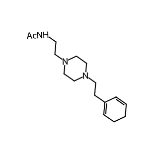 CC(=O)NCCN1CCN(CCC2=CCCC=C2)CC1